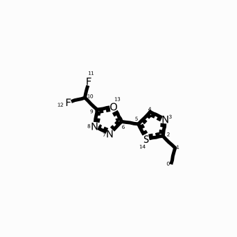 CCc1ncc(-c2nnc(C(F)F)o2)s1